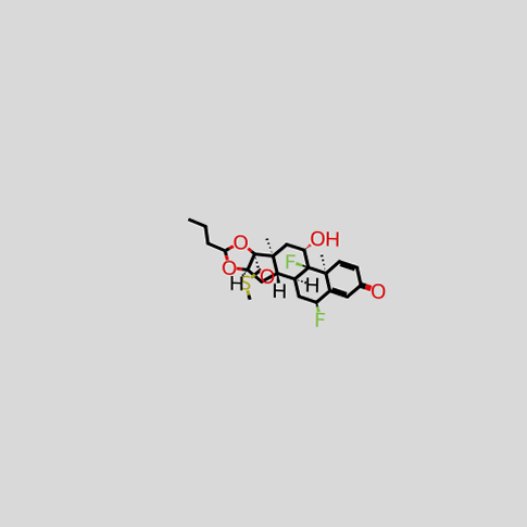 CCCC1O[C@@H]2C[C@H]3[C@@H]4C[C@H](F)C5=CC(=O)C=C[C@]5(C)[C@@]4(F)[C@@H](O)C[C@]3(C)[C@]2(C(=O)SC)O1